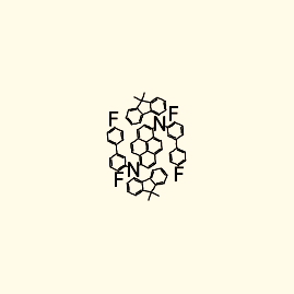 CC1(C)c2ccccc2-c2c(N(c3cc(-c4ccc(F)cc4)ccc3F)c3ccc4ccc5c(N(c6cc(-c7ccc(F)cc7)ccc6F)c6cccc7c6-c6ccccc6C7(C)C)ccc6ccc3c4c65)cccc21